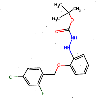 CC(C)(C)OC(=O)NNc1ccccc1OCc1ccc(Cl)cc1F